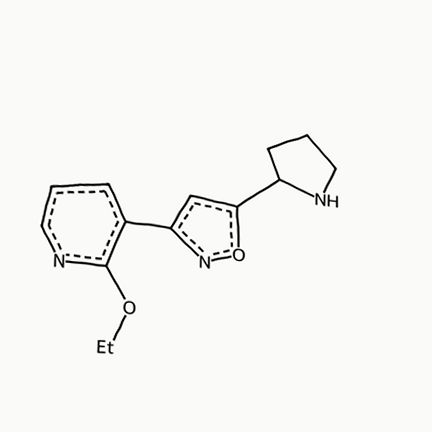 CCOc1ncccc1-c1cc(C2CCCN2)on1